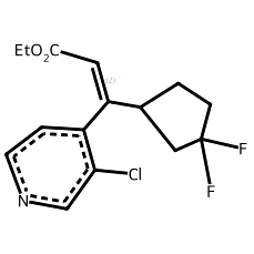 CCOC(=O)/C=C(\c1ccncc1Cl)C1CCC(F)(F)C1